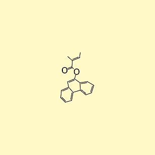 CC=C(C)C(=O)Oc1cc2ccccc2c2ccccc12